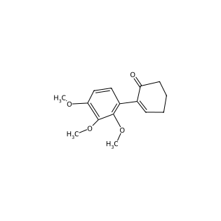 COc1ccc(C2=CCCCC2=O)c(OC)c1OC